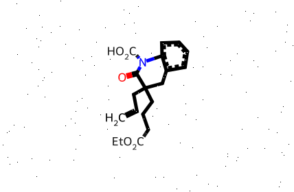 C=CCC1(CCCC(=O)OCC)Cc2ccccc2N(C(=O)O)C1=O